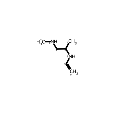 C=CNC(C)CNC